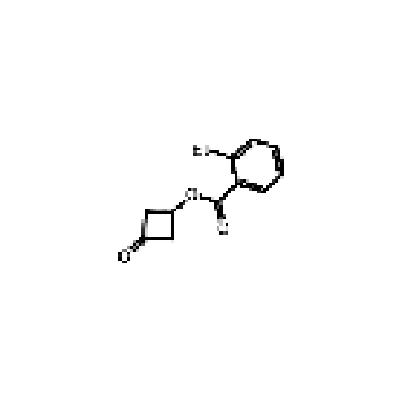 CCc1ccccc1C(=O)OC1CC(=O)C1